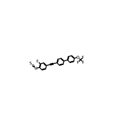 Fc1cc(C#Cc2ccc(-c3ccc(OC(F)(F)F)cc3)cc2)ccc1N=C=S